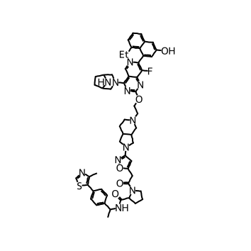 CCc1cccc2cc(O)cc(-c3ncc4c(N5CC6CCC(C5)N6)nc(OCCN5CCC6CN(c7cc(CC(=O)N8CCCC8C(=O)NC(C)c8ccc(-c9scnc9C)cc8)on7)CC6C5)nc4c3F)c12